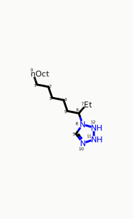 CCCCCCCCCCCCCC(CC)N1C=NNN1